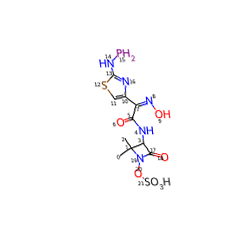 CC1(C)C(NC(=O)/C(=N\O)c2csc(NP)n2)C(=O)N1OS(=O)(=O)O